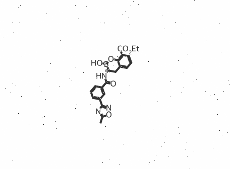 CCOC(=O)c1cccc2c1OB(O)[C@@H](NC(=O)c1cccc(-c3noc(C)n3)c1)C2